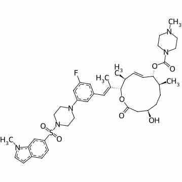 C/C(=C\c1cc(F)cc(N2CCN(S(=O)(=O)c3ccc4ccn(C)c4c3)CC2)c1)[C@H]1OC(=O)C[C@H](O)CC[C@H](C)[C@@H](OC(=O)N2CCN(C)CC2)/C=C/[C@@H]1C